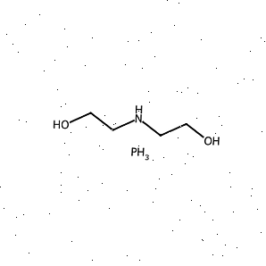 OCCNCCO.P